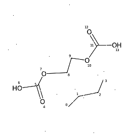 CCCC.O=C(O)OCCOC(=O)O